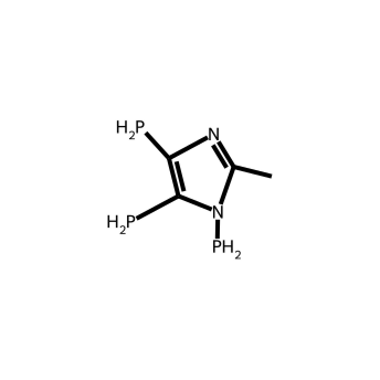 Cc1nc(P)c(P)n1P